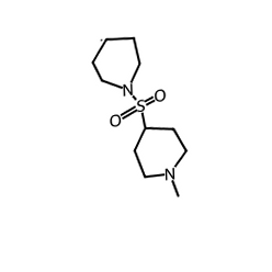 CN1CCC(S(=O)(=O)N2CC[CH]CC2)CC1